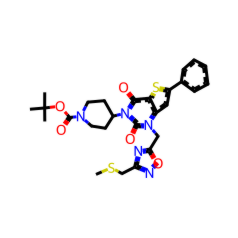 CSCc1noc(Cn2c(=O)n(C3CCN(C(=O)OC(C)(C)C)CC3)c(=O)c3sc(-c4ccccc4)cc32)n1